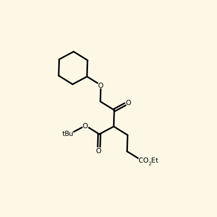 CCOC(=O)CCC(C(=O)COC1CCCCC1)C(=O)OC(C)(C)C